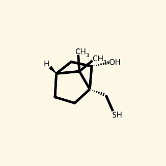 CC1(C)[C@@H]2CC[C@]1(CS)[C@@H](O)C2